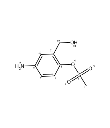 CS(=O)(=O)Oc1ccc(N)cc1CO